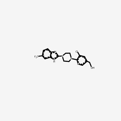 OCc1cnc(N2CCN(c3nc4ccc(C(F)(F)F)cc4[nH]3)CC2)c(Cl)c1